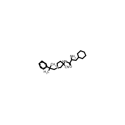 CC(C)(CN1CCC(C#N)(NC(=O)C(N)CC2CCCCC2)C1)c1ccccc1